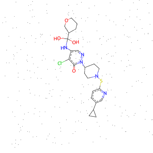 O=c1c(Cl)c(NC(O)(O)C2CCCOC2)cnn1C1CCN(Sc2ccc(C3CC3)cn2)CC1